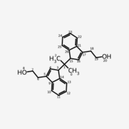 CC(C)(C1C=C(CCO)c2ccccc21)C1C=C(CCO)c2ccccc21